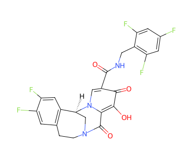 O=C(NCc1c(F)cc(F)cc1F)c1cn2c(c(O)c1=O)C(=O)N1CCc3cc(F)c(F)cc3[C@@H]2C1